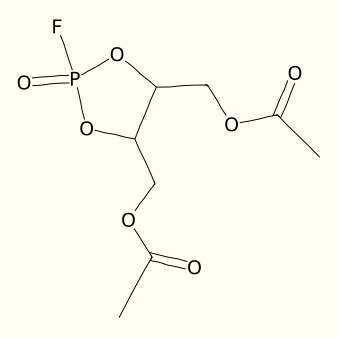 CC(=O)OCC1OP(=O)(F)OC1COC(C)=O